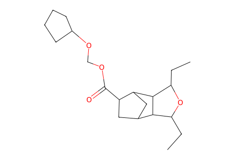 CCC1OC(CC)C2C3CC(CC3C(=O)OCOC3CCCC3)C12